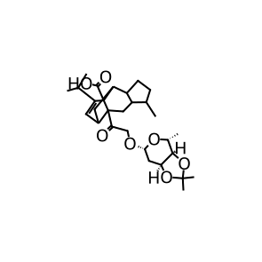 CC(C)C1=CC2CC3C4CCC(C)C4CC2(C(=O)CO[C@H]2C[C@@H]4OC(C)(C)O[C@@H]4[C@@H](C)O2)C13C(=O)O